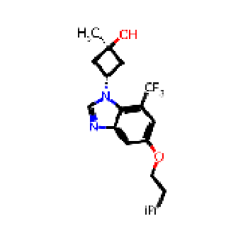 CC(C)CCOc1cc(C(F)(F)F)c2c(c1)ncn2[C@H]1C[C@](C)(O)C1